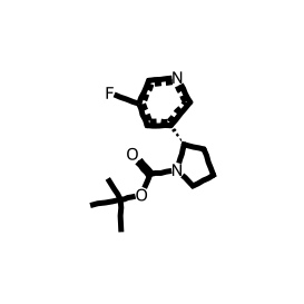 CC(C)(C)OC(=O)N1CCC[C@H]1c1cncc(F)c1